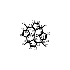 CC(C)C1=[C]([Mo]([C]2=C(C(C)C)C=CC2)([C]2=C(C(C)C)C=CC2)[C]2=C(C(C)C)C=CC2)CC=C1